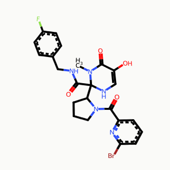 CN1C(=O)C(O)=CNC1(C(=O)NCc1ccc(F)cc1)C1CCCN1C(=O)c1cccc(Br)n1